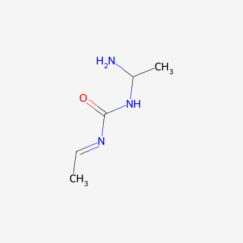 CC=NC(=O)NC(C)N